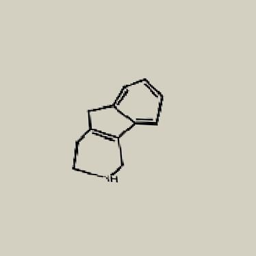 c1ccc2c(c1)CC1=C2CNCC1